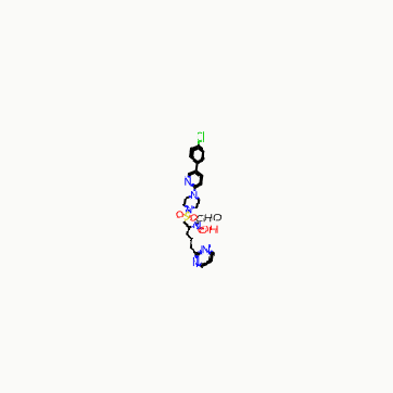 O=CN(O)C(CCCc1ncccn1)CS(=O)(=O)N1CCN(c2ccc(-c3ccc(Cl)cc3)cn2)CC1